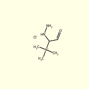 C[N+](C)(C)C(C=O)NN.[Cl-]